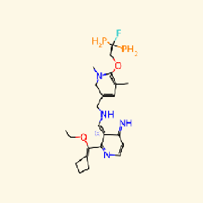 CCOC(C1=NC=CC(=N)/C1=C\NCC1=CC(C)=C(OCC(F)(P)P)N(C)C1)=C1CCC1